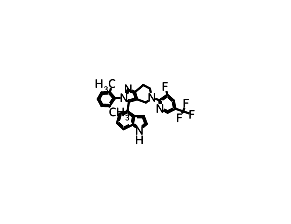 Cc1cccc(C)c1-n1nc2c(c1-c1cccc3[nH]ccc13)CN(c1ncc(C(F)(F)F)cc1F)CC2